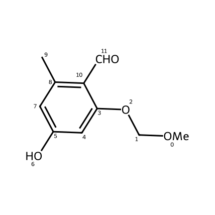 COCOc1cc(O)cc(C)c1C=O